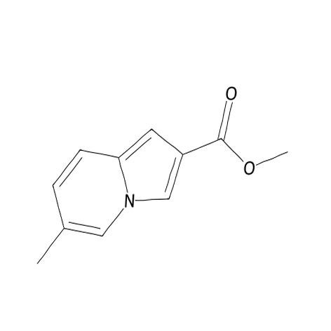 COC(=O)c1cc2ccc(C)cn2c1